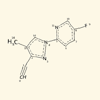 C#Cc1nn(-c2ccc(F)cn2)cc1C